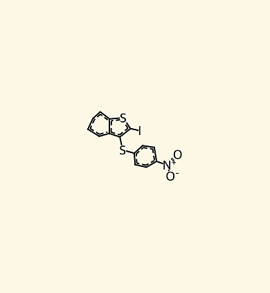 O=[N+]([O-])c1ccc(Sc2c(I)sc3ccccc23)cc1